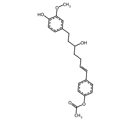 COc1cc(CCC(O)CCC=Cc2ccc(OC(C)=O)cc2)ccc1O